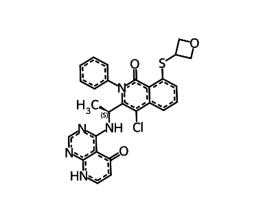 C[C@H](Nc1ncnc2[nH]ccc(=O)c12)c1c(Cl)c2cccc(SC3COC3)c2c(=O)n1-c1ccccc1